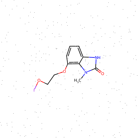 Cn1c(=O)[nH]c2cccc(OCCOI)c21